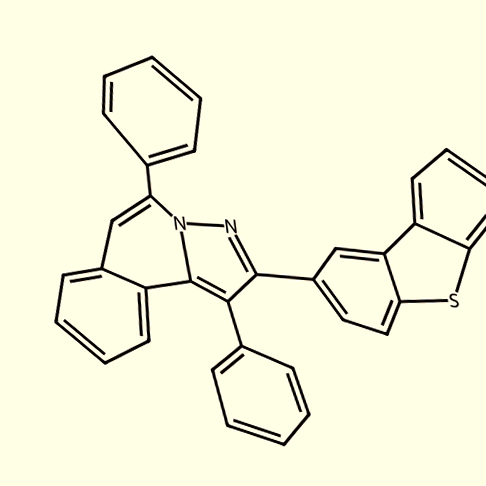 c1ccc(-c2c(-c3ccc4sc5ccccc5c4c3)nn3c(-c4ccccc4)cc4ccccc4c23)cc1